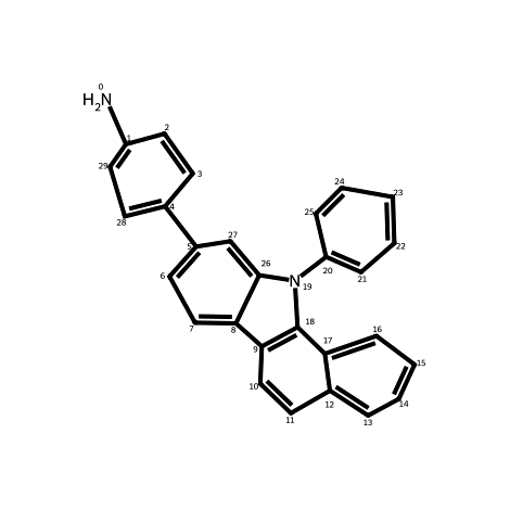 Nc1ccc(-c2ccc3c4ccc5ccccc5c4n(-c4ccccc4)c3c2)cc1